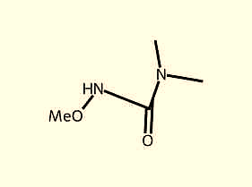 CONC(=O)N(C)C